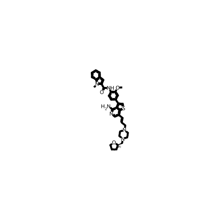 COc1cc(-c2csc3c(C=CCN4CCN(C[C@H]5CCCO5)CC4)cnc(N)c23)ccc1NC(=O)c1cc2ccccc2n1C